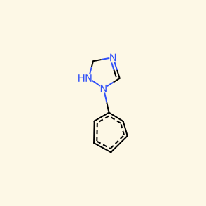 C1=NCNN1c1ccccc1